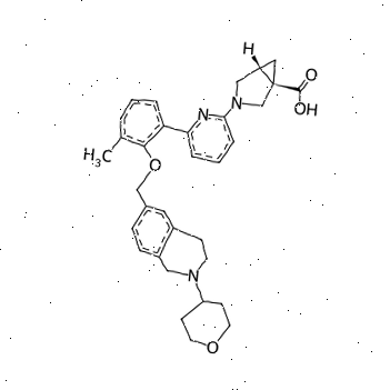 Cc1cccc(-c2cccc(N3C[C@@H]4C[C@]4(C(=O)O)C3)n2)c1OCc1ccc2c(c1)CCN(C1CCOCC1)C2